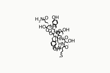 CSCC[C@H](N)C(=O)N[C@H](C(=O)N[C@@H](CC(=O)O)C(=O)N[C@@H](Cc1ccc(O)cc1)C(=O)N[C@@H](Cc1ccc(O)cc1)C(=O)N[C@@H](CCC(N)=O)C(=O)O)[C@@H](C)O